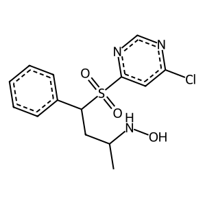 CC(CC(c1ccccc1)S(=O)(=O)c1cc(Cl)ncn1)NO